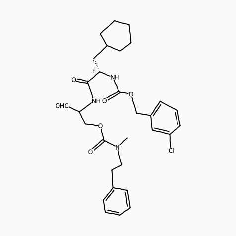 CN(CCc1ccccc1)C(=O)OCC(C=O)NC(=O)[C@H](CC1CCCCC1)NC(=O)OCc1cccc(Cl)c1